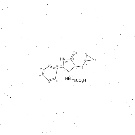 O=C(O)NC1C(CC2CC2)C(=O)NC1c1ccccc1